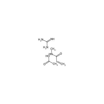 C=CC(=O)NC.CC(=O)O.N=C(N)N